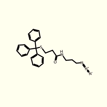 [N-]=[N+]=NCCCNC(=O)CCSC(c1ccccc1)(c1ccccc1)c1ccccc1